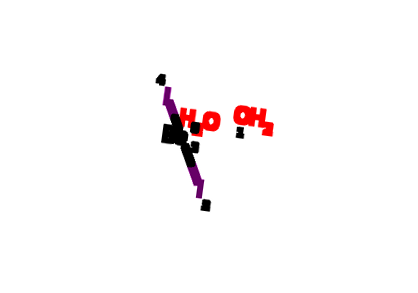 O.O.[I][Be][I]